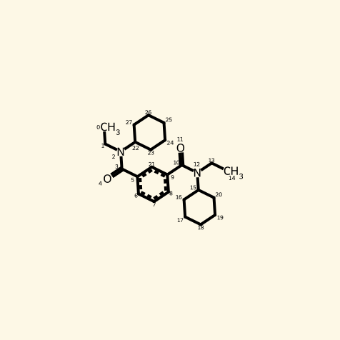 CCN(C(=O)c1cccc(C(=O)N(CC)C2CCCCC2)c1)C1CCCCC1